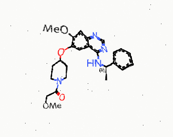 COCC(=O)N1CCC(Oc2cc3c(N[C@H](C)c4ccccc4)ncnc3cc2OC)CC1